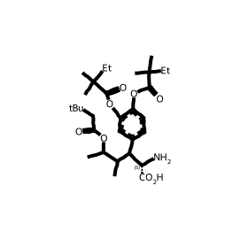 CCC(C)(C)C(=O)Oc1ccc(C(C(C)C(C)OC(=O)CC(C)(C)C)[C@H](N)C(=O)O)cc1OC(=O)C(C)(C)CC